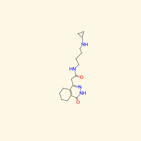 O=C(Cc1n[nH]c(=O)c2c1CCCC2)NCCCCNC1CC1